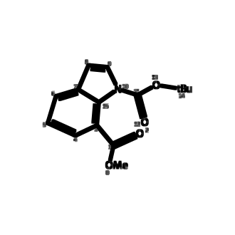 COC(=O)c1cccc2ccn(C(=O)OC(C)(C)C)c12